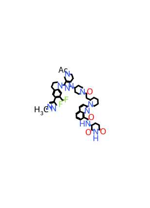 CC(=O)N1CCc2c(c(N3CCCc4cc(-c5cnn(C)c5)c(C(F)F)cc43)nn2C2CCN(C(=O)CC3CCCCN3c3ccc4cccc(C(=O)NC5CCC(=O)NC5=O)c4n3)CC2)C1